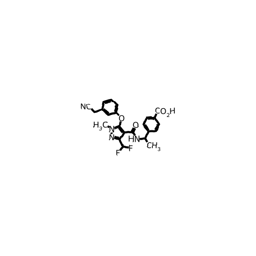 CC(NC(=O)c1c(C(F)F)nn(C)c1Oc1cccc(CC#N)c1)c1ccc(C(=O)O)cc1